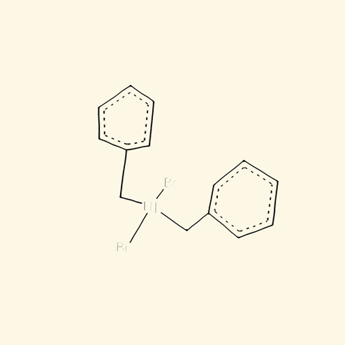 [Br][Hf]([Br])([CH2]c1ccccc1)[CH2]c1ccccc1